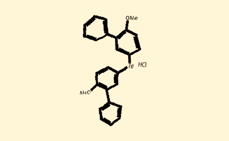 COc1ccc([Te]c2ccc(OC)c(-c3ccccc3)c2)cc1-c1ccccc1.Cl